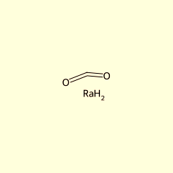 O=C=O.[RaH2]